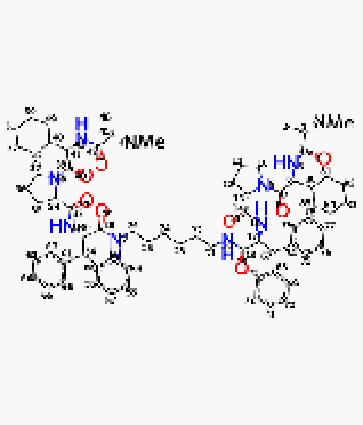 CN[C@@H](C)C(=O)N[C@H](C(=O)N1CCC[C@H]1C(=O)N[C@H](C(=O)NCCCCCCNC(=O)[C@@H](NC(=O)[C@@H]1CCCN1C(=O)[C@@H](NC(=O)[C@H](C)NC)C1CCCCC1)C(c1ccccc1)c1ccccc1)C(c1ccccc1)c1ccccc1)C1CCCCC1